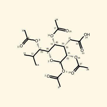 CC(=O)OC1O[C@H]([C@@H](OC(C)=O)C(C)C)[C@H](OC(C)=O)[C@H](CC(=O)O)[C@@H]1OC(C)=O